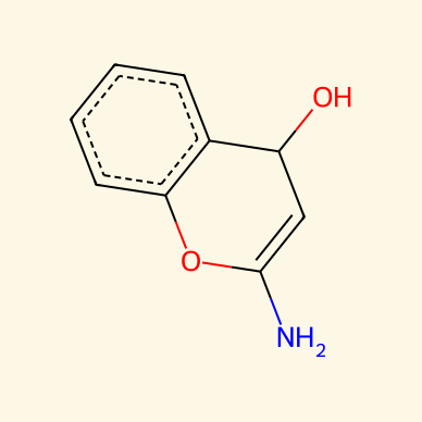 NC1=CC(O)c2ccccc2O1